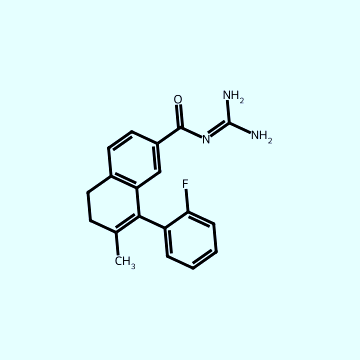 CC1=C(c2ccccc2F)c2cc(C(=O)N=C(N)N)ccc2CC1